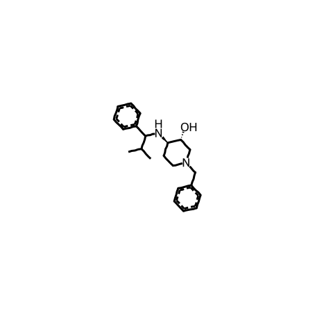 CC(C)C(N[C@@H]1CCN(Cc2ccccc2)C[C@H]1O)c1ccccc1